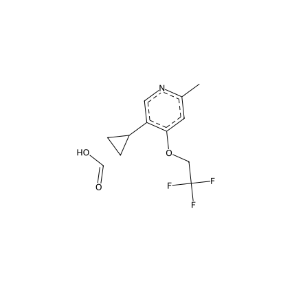 Cc1cc(OCC(F)(F)F)c(C2CC2)cn1.O=CO